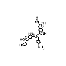 NCc1ccc(CN(Cc2c[nH]c3ccc(CC(C(=O)O)C4CCNC4)cc23)Cc2c[nH]c3ccc(CC(C(=O)O)C4CCNC4)cc23)cc1